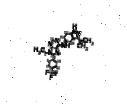 CCn1c(-c2ccc(C(F)(F)F)cc2)nc2c(N[C@H]3CCc4[nH]nc(C(C)C)c4C3)ncnc21